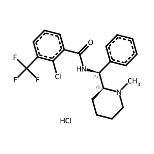 CN1CCCC[C@H]1[C@@H](NC(=O)c1cccc(C(F)(F)F)c1Cl)c1ccccc1.Cl